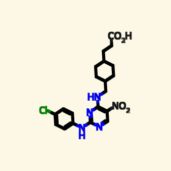 O=C(O)CCC1CCC(CNc2nc(Nc3ccc(Cl)cc3)ncc2[N+](=O)[O-])CC1